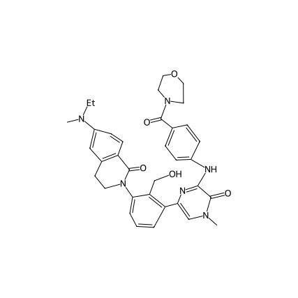 CCN(C)c1ccc2c(c1)CCN(c1cccc(-c3cn(C)c(=O)c(Nc4ccc(C(=O)N5CCOCC5)cc4)n3)c1CO)C2=O